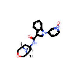 CN1[C@@H]2COC[C@H]1CC(NC(=O)c1cn(-c3ccc[n+]([O-])c3)c3ccccc13)C2